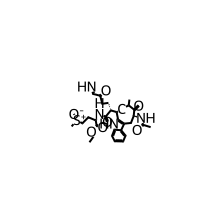 CCOC(=O)C(CC[S+](C)[O-])NC(=O)[C@H](CCC(=O)C=N)C1CC(C)C(=O)[C@@H](NC(C)=O)Cc2c1[nH]c1ccccc21